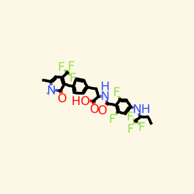 CCC(Nc1cc(F)c(C(=O)NC(Cc2ccc(-c3c(C(F)(F)F)cc(C)n(C)c3=O)cc2)C(=O)O)c(F)c1)C(F)(F)F